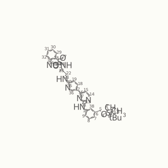 CC(C)(C)[Si](C)(C)OCc1cccc(Nc2nccc(-c3ccc(NCCNS(=O)(=O)c4ccccc4[N+](=O)[O-])nc3)n2)c1